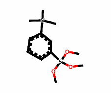 CO[Si](OC)(OC)c1cccc([Si](C)(C)C)c1